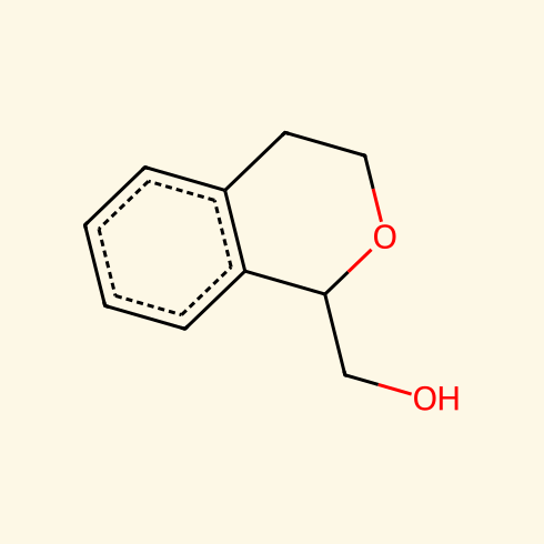 OCC1OCCc2ccccc21